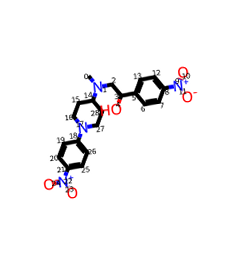 CN(CC(O)c1ccc([N+](=O)[O-])cc1)C1CCN(c2ccc([N+](=O)[O-])cc2)CC1